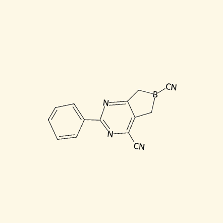 N#CB1Cc2nc(-c3ccccc3)nc(C#N)c2C1